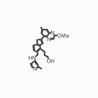 COc1cnc2c(C3=Cc4c(ccc(CNc5ccnc(C)c5)c4CCCO)C3)cc(C)cc2n1